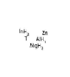 [AlH3].[InH3].[MgH2].[Ti].[Zn]